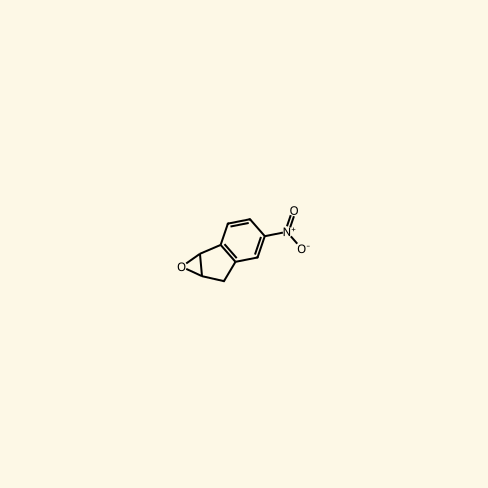 O=[N+]([O-])c1ccc2c(c1)CC1OC21